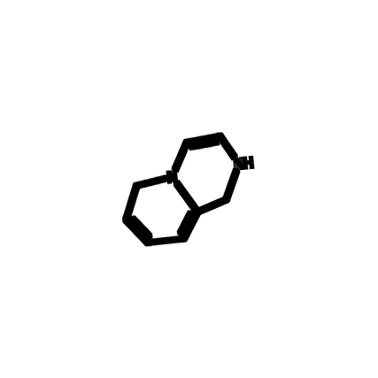 C1=CCN2C=CNCC2=C1